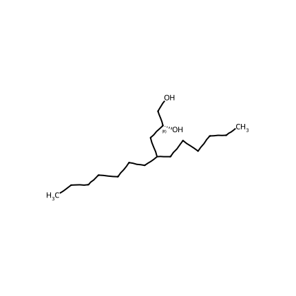 CCCCCCCC(CCCCCC)C[C@@H](O)CO